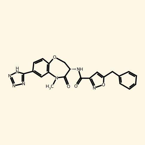 CN1C(=O)[C@@H](NC(=O)c2cc(Cc3ccccc3)on2)COc2ccc(-c3nnn[nH]3)cc21